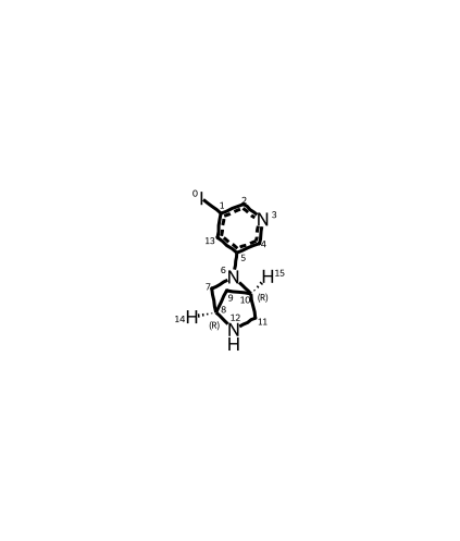 Ic1cncc(N2C[C@H]3C[C@@H]2CN3)c1